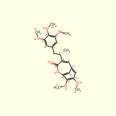 COc1cc(C[C@H](C)C2=Cc3cc(OC)c(OC)c(c3)OC2=O)cc(OC)c1OC